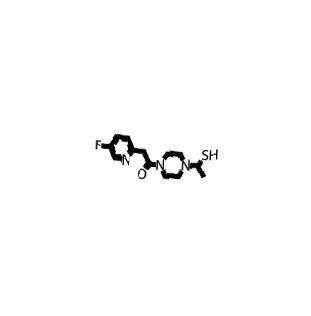 CC(S)N1CCN(C(=O)Cc2ccc(F)cn2)CC1